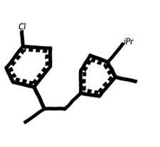 Cc1cc(CC(C)c2ccc(Cl)cc2)ccc1C(C)C